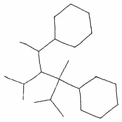 CC(C)C(C(C)C1CCCCC1)C(C)(C(C)C)C1CCCCC1